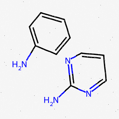 Nc1ccccc1.Nc1ncccn1